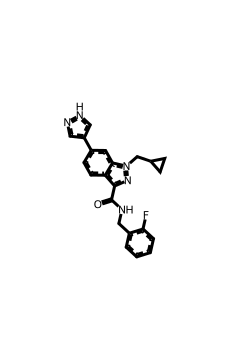 O=C(NCc1ccccc1F)c1nn(CC2CC2)c2cc(-c3cn[nH]c3)ccc12